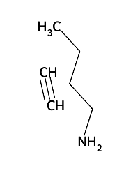 C#C.CCCCN